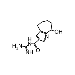 N=C(N)NC(=O)c1cnc2c(c1)CCCCC2O